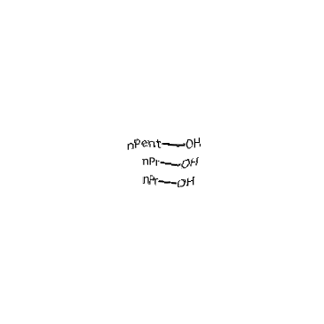 CCCCCO.CCCO.CCCO